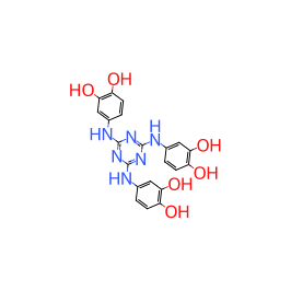 Oc1ccc(Nc2nc(Nc3ccc(O)c(O)c3)nc(Nc3ccc(O)c(O)c3)n2)cc1O